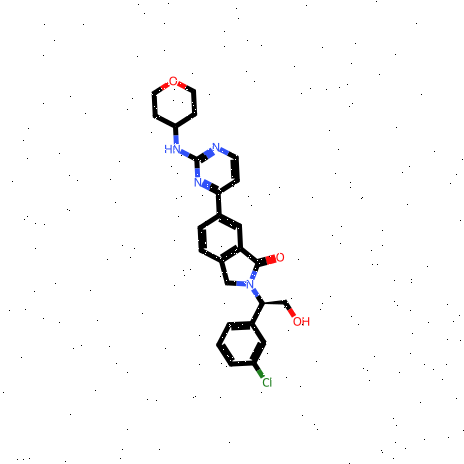 O=C1c2cc(-c3ccnc(NC4CCOCC4)n3)ccc2CN1[C@@H](CO)c1cccc(Cl)c1